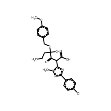 CCCC(C)(SCc1ccc(OC)cc1)C(=O)C(C(=O)O)c1nc(-c2ccc(Cl)cc2)nn1C